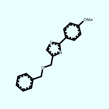 COc1ccc(-c2nc(COCc3ccccc3)cs2)cc1